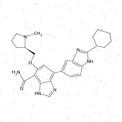 CN1CCC[C@@H]1COc1cc(-c2ccc3[nH]c(C4CCCCC4)nc3c2)c2nc[nH]c2c1C(N)=O